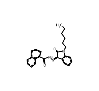 CCCCCCN1C(=O)/C(=N\NC(=O)c2cccc3ccccc23)c2ccccc21